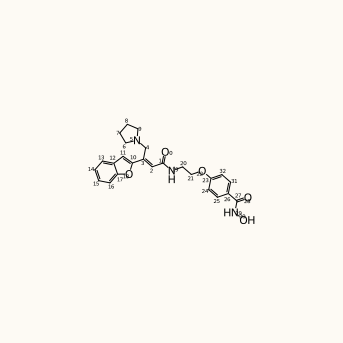 O=C(C=C(CN1CCCC1)c1cc2ccccc2o1)NCCOc1ccc(C(=O)NO)cc1